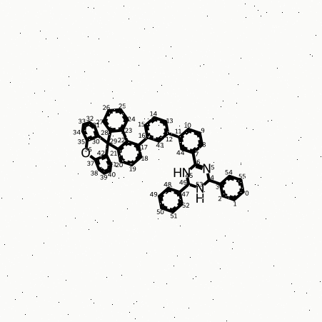 c1ccc(C2N=C(c3cccc(-c4cccc(-c5cccc6c5-c5ccccc5C65c6ccccc6Oc6ccccc65)c4)c3)NC(c3ccccc3)N2)cc1